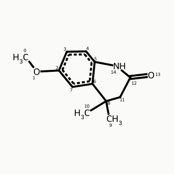 COc1ccc2c(c1)C(C)(C)CC(=O)N2